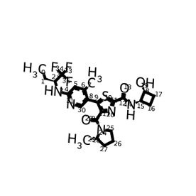 CC[C@H](Nc1cc(C)c(-c2sc(C(=O)N[C@@H]3CC[C@@H]3O)nc2C(=O)N2CCC[C@@H]2C)cn1)C(F)(F)F